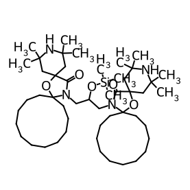 CC1(C)CC2(CC(C)(C)N1)OC1(CCCCCCCCCCC1)N(CC(CN1C(=O)C3(CC(C)(C)NC(C)(C)C3)OC13CCCCCCCCCCC3)O[Si](C)(C)C)C2=O